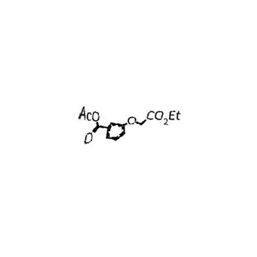 CCOC(=O)COc1cccc(C(=O)OC(C)=O)c1